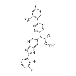 CCCOC(=O)C(c1ccc(-c2ccc(C)cc2C(F)(F)F)nn1)n1cnc2nc(-c3cccc(F)c3F)nc-2c1